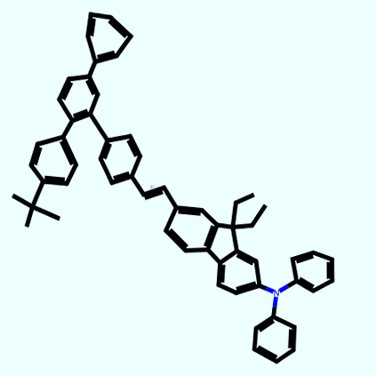 CCC1(CC)c2cc(/C=C/c3ccc(-c4cc(-c5ccccc5)ccc4-c4ccc(C(C)(C)C)cc4)cc3)ccc2-c2ccc(N(c3ccccc3)c3ccccc3)cc21